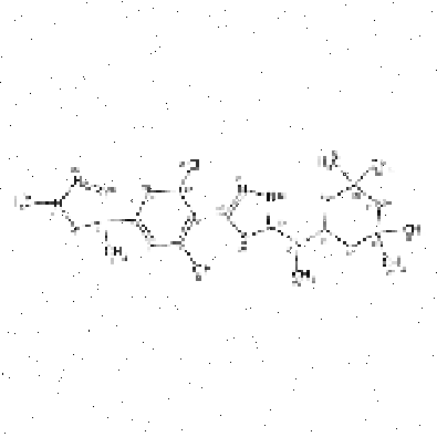 CN1CC(C)(c2cc(O)c(-c3nnc(N(C)C4CC(C)(C)NC(C)(C)C4)s3)c(Cl)c2)C=N1